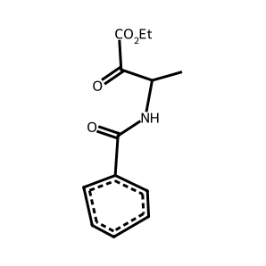 CCOC(=O)C(=O)C(C)NC(=O)c1ccccc1